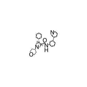 O=C(Nc1cccc(-c2cccnc2)c1)[C@H]1CN(C2CCOCC2)C[C@@H]1c1ccccc1